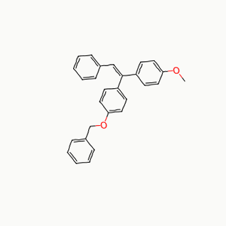 COc1ccc(C(=Cc2ccccc2)c2ccc(OCc3ccccc3)cc2)cc1